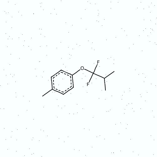 Cc1ccc(OC(F)(F)C(C)C)cc1